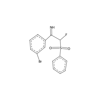 N=C(c1cccc(Br)c1)C(F)S(=O)(=O)c1ccccc1